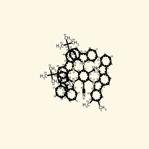 Cc1cc2c3ccc4c5ccccc5sc4c3n(-c3c(C#N)c(-n4c5ccccc5c5ccccc54)c(-n4c5ccc(C(C)(C)C)cc5c5cc(C(C)(C)C)c6c7ccccc7sc6c54)c(-n4c5ccccc5c5ccccc54)c3C#N)c2cc1C